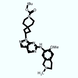 COc1cc2c(cc1Nc1ncc3cnn(C4CC5(CCN(C(=O)OC(C)(C)C)CC5)C4)c3n1)CN(C)CC2